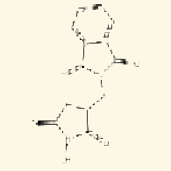 CN1C(=O)CC(CN2C(=O)c3ccccc3C2=O)C1=O